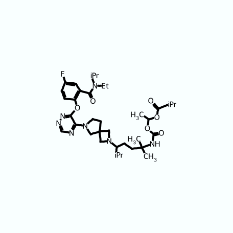 CCN(C(=O)c1cc(F)ccc1Oc1nncnc1N1CCC2(C1)CN(C(CCC(C)(C)NC(=O)OC(C)OC(=O)C(C)C)C(C)C)C2)C(C)C